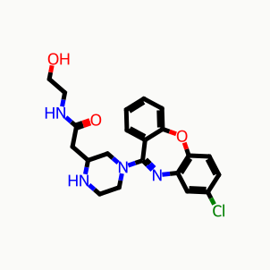 O=C(CC1CN(C2=Nc3cc(Cl)ccc3Oc3ccccc32)CCN1)NCCO